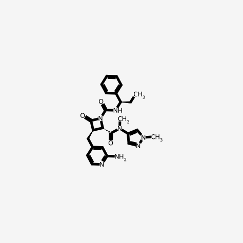 CC[C@@H](NC(=O)N1C(=O)[C@H](Cc2ccnc(N)c2)[C@H]1C(=O)N(C)c1cnn(C)c1)c1ccccc1